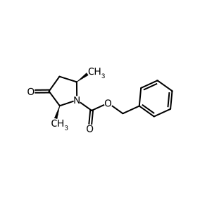 C[C@@H]1CC(=O)[C@H](C)N1C(=O)OCc1ccccc1